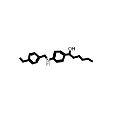 CCCCCC(O)c1ccc(NCc2ccc(CC)cc2)cc1